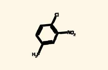 O=[N+]([O-])c1cc(P)ccc1Cl